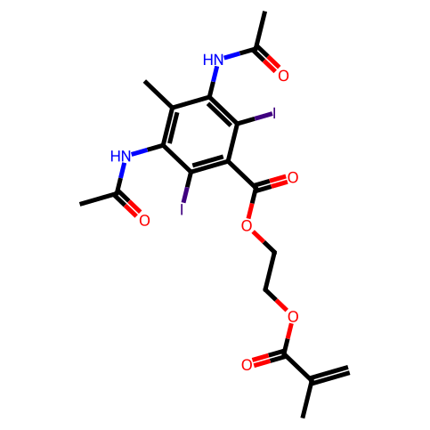 C=C(C)C(=O)OCCOC(=O)c1c(I)c(NC(C)=O)c(C)c(NC(C)=O)c1I